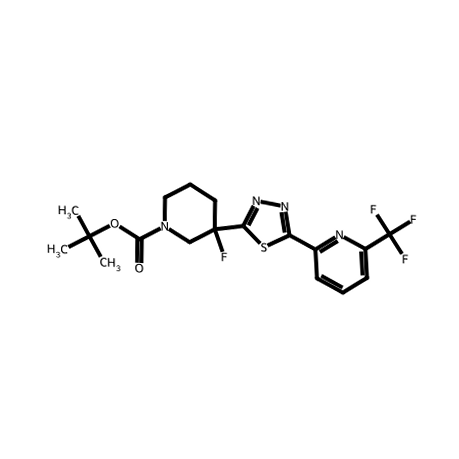 CC(C)(C)OC(=O)N1CCCC(F)(c2nnc(-c3cccc(C(F)(F)F)n3)s2)C1